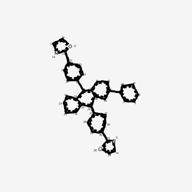 c1ccc(-c2ccc3c(-c4ccc(-c5ncco5)cc4)c4ccccc4c(-c4ccc(-c5ncco5)cc4)c3c2)cc1